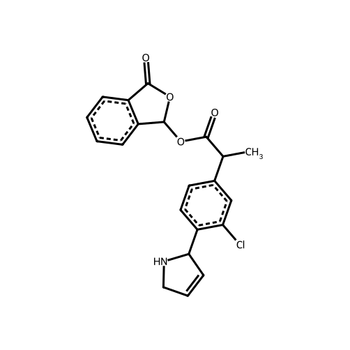 CC(C(=O)OC1OC(=O)c2ccccc21)c1ccc(C2C=CCN2)c(Cl)c1